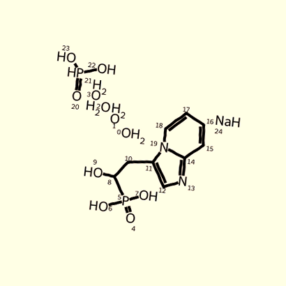 O.O.O.O.O=P(O)(O)C(O)Cc1cnc2ccccn12.O=[PH](O)O.[NaH]